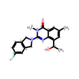 Cc1cc(C(C)O)c2nc(N3Cc4ccc(F)cc4C3)n(C)c(=O)c2c1